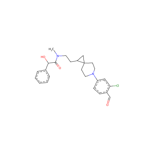 CN(CCC1CC12CCN(c1ccc(C=O)c(Cl)c1)CC2)C(=O)C(O)c1ccccc1